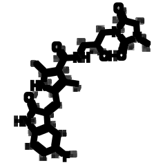 Cc1[nH]c(/C=C2\C(=O)Nc3ccc(F)cc32)c(C)c1C(=O)NC[C@H](O)CN1C(=O)CN(C)C1=O